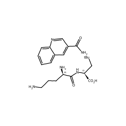 CC(C)(C)C[C@H](NC(=O)[C@H](N)CCCN)C(=O)O.NC(=O)c1cnc2ccccc2c1